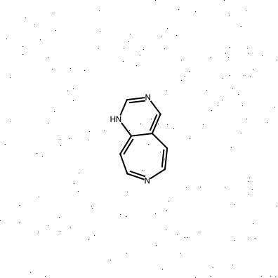 C1=CC2=CN=CNC2=CC=N1